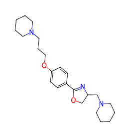 c1cc(C2=NC(CN3CCCCC3)CO2)ccc1OCCCN1CCCCC1